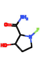 NC(=O)C1C(O)CCN1F